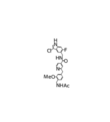 COc1cc(Cc2cc(C(=O)NCc3cc4c(Cl)c[nH]c4cc3F)ccn2)ccc1CNC(C)=O